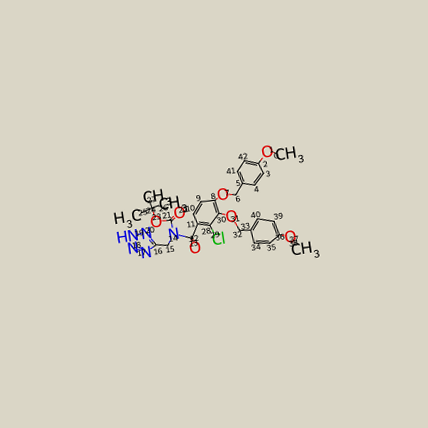 COc1ccc(COc2ccc(C(=O)N(Cc3nn[nH]n3)C(=O)OC(C)(C)C)c(Cl)c2OCc2ccc(OC)cc2)cc1